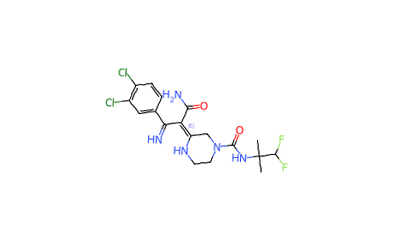 CC(C)(NC(=O)N1CCN/C(=C(\C(=N)c2ccc(Cl)c(Cl)c2)C(N)=O)C1)C(F)F